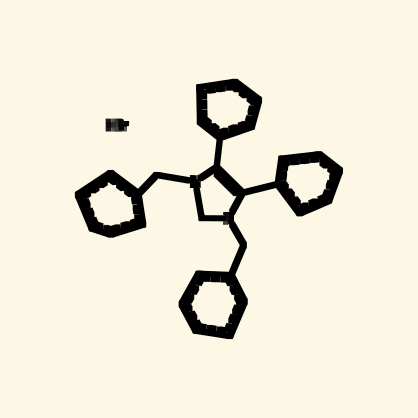 Br.c1ccc(CN2CN(Cc3ccccc3)C(c3ccccc3)=C2c2ccccc2)cc1